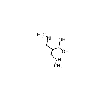 CNCC(CNC)C(O)O